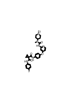 CCN1CCC(N(C)C(=O)Nc2cc(Oc3ccc(NC(=O)C4(C(=O)Nc5ccc(F)cc5)CC4)cc3)ccn2)CC1